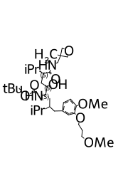 COCCCOc1cc(CC(C[C@H](NC(=O)OC(C)(C)C)[C@@H](O)C[C@H](C(=O)NCC2(C)COC2)C(C)C)C(C)C)ccc1OC